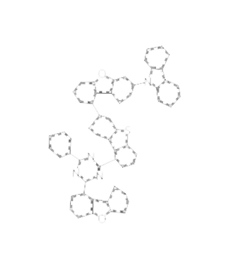 c1ccc(-c2nc(-c3cccc4oc5ccccc5c34)nc(-c3cccc4sc5cc(-c6cccc7oc8cc(-n9c%10ccccc%10c%10ccccc%109)ccc8c67)ccc5c34)n2)cc1